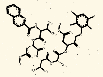 COC(=O)CC(NC(=O)[C@H](C)NC(=O)[C@@H](NC(=O)[C@H](CC(=O)OC)NC(=O)[C@@H](NC(=O)c1ccc2ccccc2n1)C(C)C)C(C)C)C(=O)COc1c(F)c(F)cc(F)c1F